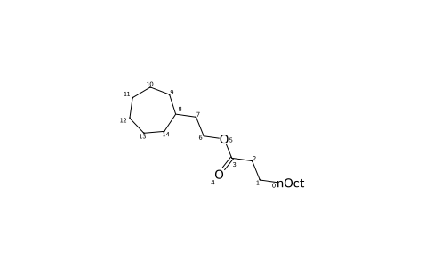 [CH2]CCCCCCCCCC(=O)OCCC1CCCCCC1